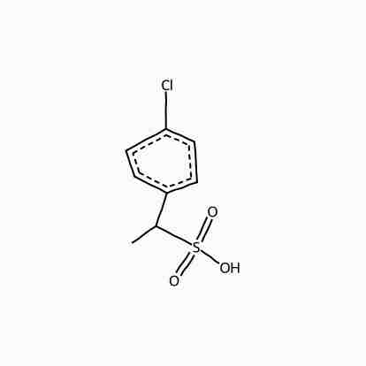 CC(c1ccc(Cl)cc1)S(=O)(=O)O